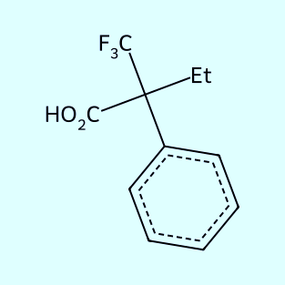 CCC(C(=O)O)(c1ccccc1)C(F)(F)F